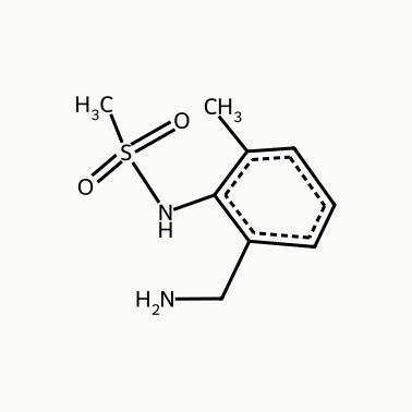 Cc1cccc(CN)c1NS(C)(=O)=O